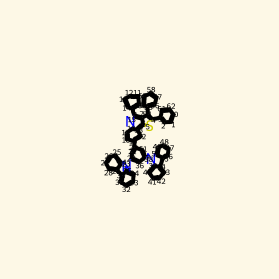 c1ccc(-c2sc3c(c(-c4ccccc4)nc4ccc(-c5cc(-n6c7ccccc7c7ccccc76)cc(-n6c7ccccc7c7ccccc76)c5)cc43)c2-c2ccccc2)cc1